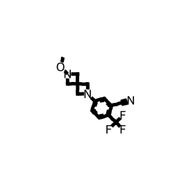 CON1CC2(C1)CN(c1ccc(C(F)(F)F)c(C#N)c1)C2